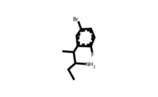 CCC(N)C(C)c1cc(Br)ccc1F